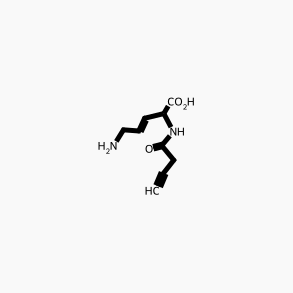 C#CCC(=O)NC(C=CCN)C(=O)O